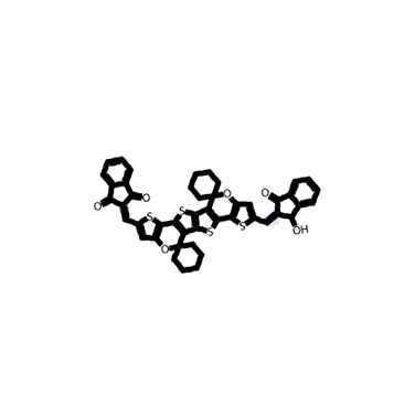 O=C1C(=Cc2cc3c(s2)-c2sc4c5c(sc4c2C2(CCCCC2)O3)-c2sc(/C=C3\C(=O)c4ccccc4C3O)cc2OC52CCCCC2)C(=O)c2ccccc21